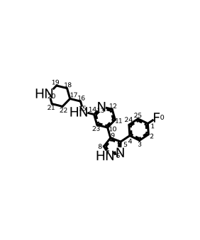 Fc1ccc(-c2n[nH]cc2-c2ccnc(NCC3CCNCC3)c2)cc1